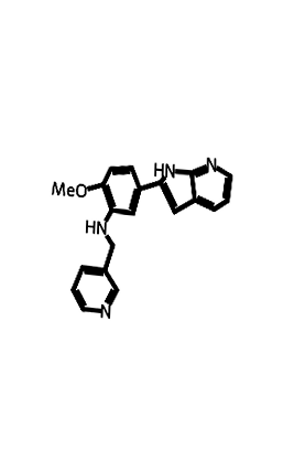 COc1ccc(-c2cc3cccnc3[nH]2)cc1NCc1cccnc1